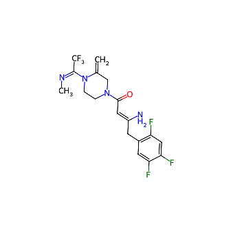 C=C1CN(C(=O)/C=C(\N)Cc2cc(F)c(F)cc2F)CCN1/C(=N\C)C(F)(F)F